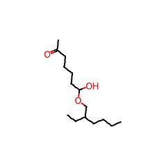 CCCCC(CC)COC(O)CCCCC(C)=O